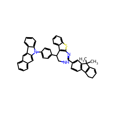 CC1(C)C2=C(CCC=C2)c2ccc(C3=Nc4sc5ccccc5c4C(c4ccc(-n5c6ccccc6c6cc7ccccc7cc65)cc4)CN3)cc21